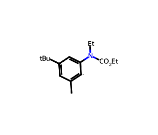 CCOC(=O)N(CC)c1[c]c(C)cc(C(C)(C)C)c1